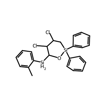 Cc1ccccc1[SiH2]C1O[Si](c2ccccc2)(c2ccccc2)CC(Cl)C1Cl